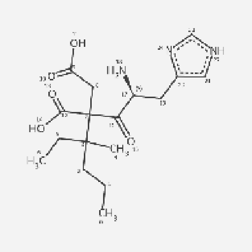 CCCC(C)(CC)C(CC(=O)O)(C(=O)O)C(=O)[C@@H](N)Cc1c[nH]cn1